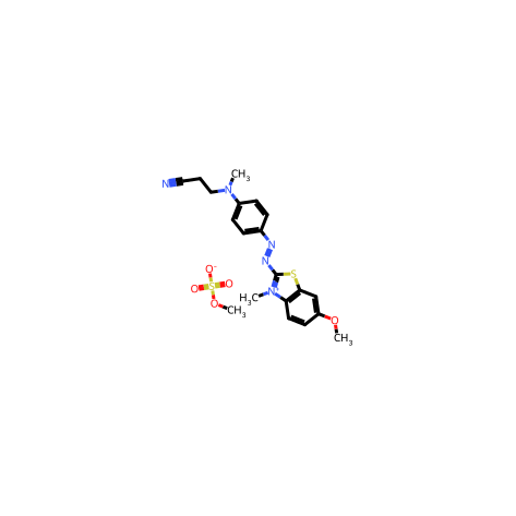 COS(=O)(=O)[O-].COc1ccc2c(c1)sc(N=Nc1ccc(N(C)CCC#N)cc1)[n+]2C